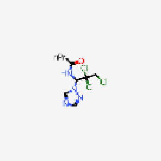 CCCC(=O)NC(n1cncn1)C(Cl)(Cl)CCl